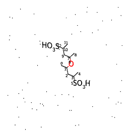 CC(CC(C)S(=O)(=O)O)OC(C)CC(C)S(=O)(=O)O